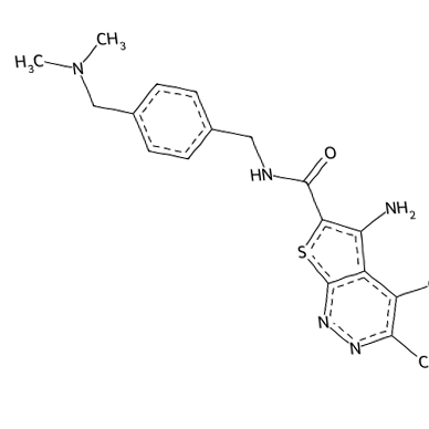 Cc1nnc2sc(C(=O)NCc3ccc(CN(C)C)cc3)c(N)c2c1C